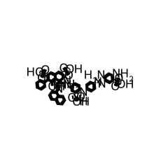 Nc1cc(N)c(S(=O)(=O)O)cc1N=Nc1ccc(Nc2ccc(N=NC3C(S(=O)(=O)O)=Cc4cc(S(=O)(=O)O)c(-c5ccccc5)c(O)c4C3(N)N=Nc3cccc4ccccc34)cc2S(=O)(=O)O)cc1